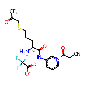 N#CCC(=O)[n+]1cccc(NC(=O)[C@@H](N)CCCSCC(=O)C(F)(F)F)c1.O=C([O-])C(F)(F)F